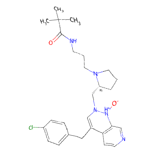 CC(C)(C)C(=O)NCCCN1CCC[C@@H]1CN1C=C(Cc2ccc(Cl)cc2)c2ccncc2[NH+]1[O-]